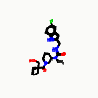 CN(C(=O)NCc1cc2cc(Cl)ccc2[nH]1)[C@@H]1CCCN(C(=O)C2(CO)CCC2)C1